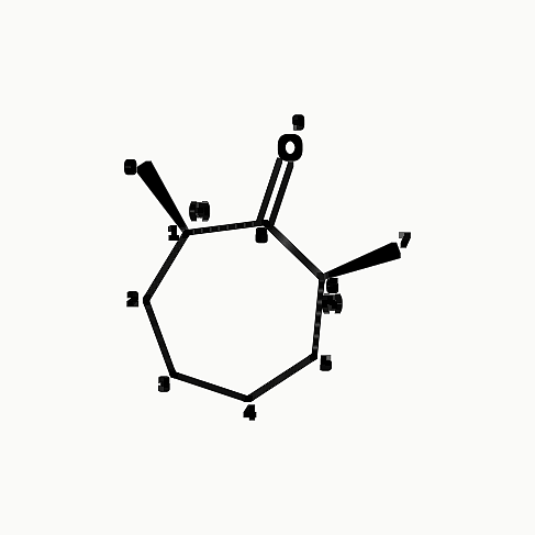 C[C@@H]1CCCC[C@H](C)C1=O